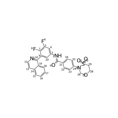 O=C(Nc1cc(F)c(F)c(-c2nccc3ccccc23)c1)c1ccc(N2COCCS2(=O)=O)cc1